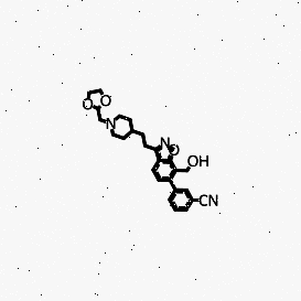 N#Cc1cccc(-c2ccc3c(CCC4CCN(CC5OCCO5)CC4)noc3c2CO)c1